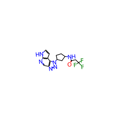 O=C(CC(F)(F)F)NC1CCC(n2nnc3cnc4[nH]ccc4c32)C1